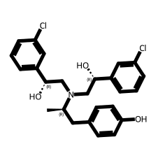 C[C@H](Cc1ccc(O)cc1)N(C[C@H](O)c1cccc(Cl)c1)C[C@H](O)c1cccc(Cl)c1